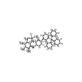 [2H]c1c([2H])c([2H])c(N(c2cccc(-c3cccc4c3-c3ccccc3C43c4ccccc4-c4ccccc43)c2F)C(C)(C)C)c(F)c1[2H]